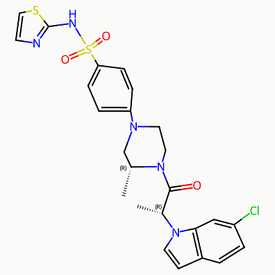 C[C@@H]1CN(c2ccc(S(=O)(=O)Nc3nccs3)cc2)CCN1C(=O)[C@@H](C)n1ccc2ccc(Cl)cc21